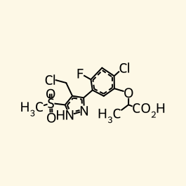 CC(Oc1cc(-c2n[nH]c(S(C)(=O)=O)c2CCl)c(F)cc1Cl)C(=O)O